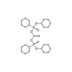 O=C(OP(=O)(Oc1ccccc1)c1ccccc1)OP(=O)(Oc1ccccc1)c1ccccc1